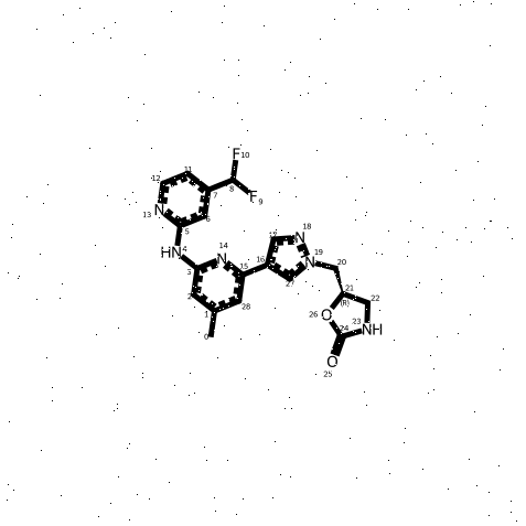 Cc1cc(Nc2cc(C(F)F)ccn2)nc(-c2cnn(C[C@H]3CNC(=O)O3)c2)c1